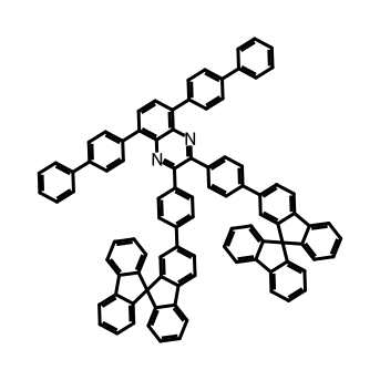 c1ccc(-c2ccc(-c3ccc(-c4ccc(-c5ccccc5)cc4)c4nc(-c5ccc(-c6ccc7c(c6)C6(c8ccccc8-c8ccccc86)c6ccccc6-7)cc5)c(-c5ccc(-c6ccc7c(c6)C6(c8ccccc8-c8ccccc86)c6ccccc6-7)cc5)nc34)cc2)cc1